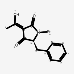 CCN1C(=O)/C(=C(/C)O)C(=O)[C@@H]1Cc1ccccc1